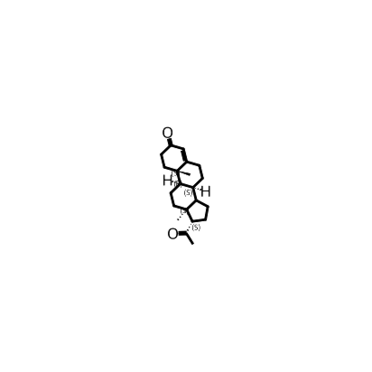 CC(=O)[C@H]1CCC2[C@@H]3CCC4=CC(=O)CC[C@@]4(C)[C@@H]3CC[C@@]21C